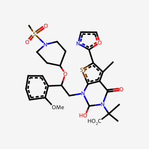 COc1ccccc1C(CN1c2sc(-c3ncco3)c(C)c2C(=O)N(C(C)(C)C(=O)O)C1O)OC1CCN(S(C)(=O)=O)CC1